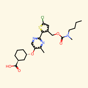 CCCCN(C)C(=O)OCc1cc(Cl)sc1-c1ncc(O[C@H]2CCC[C@H](C(=O)O)C2)c(C)n1